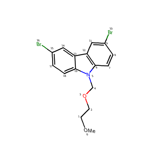 COCCOCn1c2ccc(Br)cc2c2cc(Br)ccc21